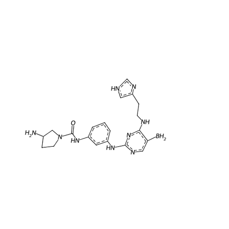 Bc1cnc(Nc2cccc(NC(=O)N3CCC(N)C3)c2)nc1NCCc1c[nH]cn1